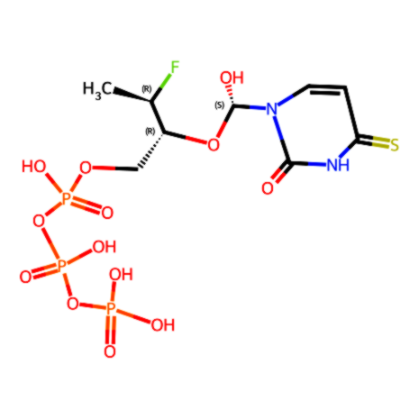 C[C@@H](F)[C@@H](COP(=O)(O)OP(=O)(O)OP(=O)(O)O)O[C@H](O)n1ccc(=S)[nH]c1=O